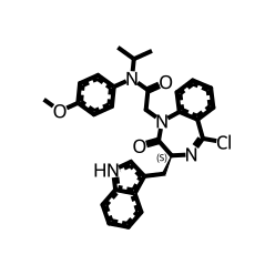 COc1ccc(N(C(=O)CN2C(=O)[C@H](Cc3c[nH]c4ccccc34)N=C(Cl)c3ccccc32)C(C)C)cc1